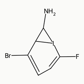 NC1C2C(Br)=CC=C(F)I12